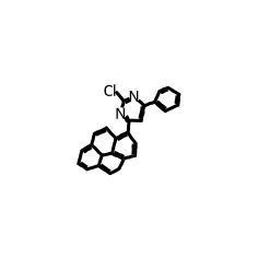 Clc1nc(-c2ccccc2)cc(-c2ccc3c4c2C=CC2=CC=CC(=CC3)C24)n1